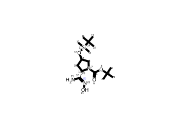 CC(C)(C)OC(=O)N1CC(O[Si](C)(C)C(C)(C)C)C[C@H]1/C(N)=N/O